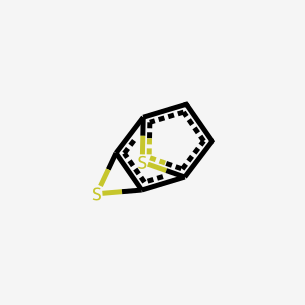 c1cc2sc1c1c2S1